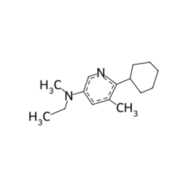 CCN(C)c1cnc(C2CCCCC2)c(C)c1